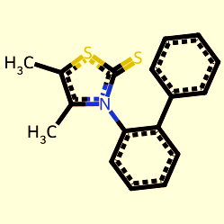 Cc1sc(=S)n(-c2ccccc2-c2ccccc2)c1C